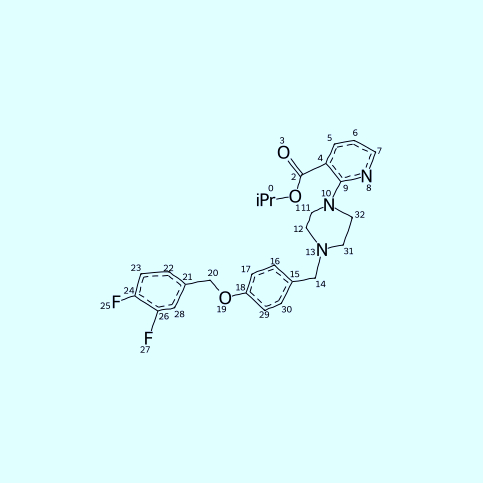 CC(C)OC(=O)c1cccnc1N1CCN(Cc2ccc(OCc3ccc(F)c(F)c3)cc2)CC1